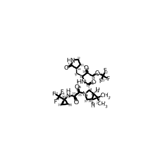 CC1(C)[C@@H]2[C@@H](C(=O)N[C@@H](C[C@@H]3CCNC3=O)C(=O)COC(F)(F)F)N(C(=O)C(=O)NC3(C(F)(F)F)CC3)C[C@@H]21